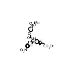 CCOC(=O)Cc1cc2c(s1)CCN(C(=O)[C@H](Cc1ccc([N+](=O)[O-])cc1)NC(=O)COC1CCN(C(=O)OC(C)(C)C)CC1)C2